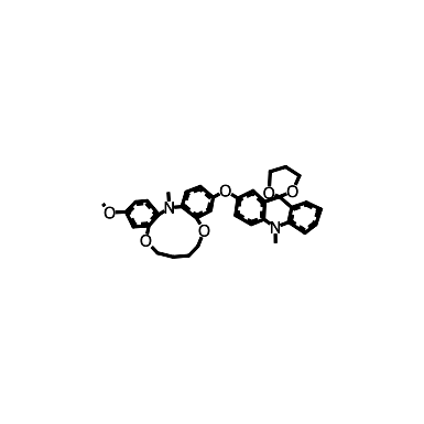 COc1ccc2c(c1)OCCCCOc1cc(Oc3ccc4c(c3)C3(OCCCO3)c3ccccc3N4C)ccc1N2C